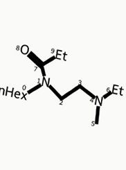 CCCCCCN(CCN(C)CC)C(=O)CC